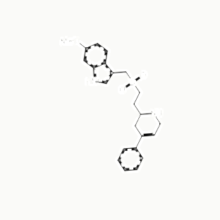 COc1ccc2c(CS(=O)(=O)CCC3CC(c4ccccc4)=CCN3)c[nH]c2c1